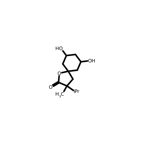 CC(C)C1(C)CC2(CC(O)CC(O)C2)OC1=O